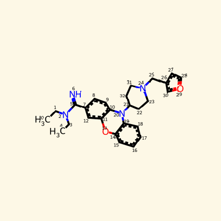 CCN(CC)C(=N)c1ccc2c(c1)Oc1ccccc1N2C1CCN(Cc2ccoc2)CC1